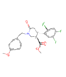 COC(=O)[C@H]1CN(Cc2ccc(OC)cc2)C(=O)C[C@@H]1c1cc(F)c(F)cc1F